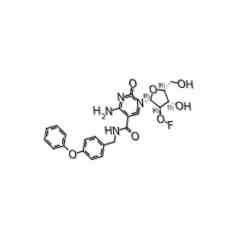 Nc1nc(=O)n([C@@H]2O[C@H](CO)[C@H](O)[C@H]2OF)cc1C(=O)NCc1ccc(Oc2ccccc2)cc1